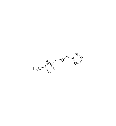 Cc1ccc(COCc2nccs2)s1